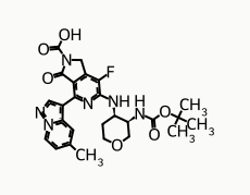 Cc1ccn2ncc(-c3nc(N[C@@H]4CCOC[C@@H]4NC(=O)OC(C)(C)C)c(F)c4c3C(=O)N(C(=O)O)C4)c2c1